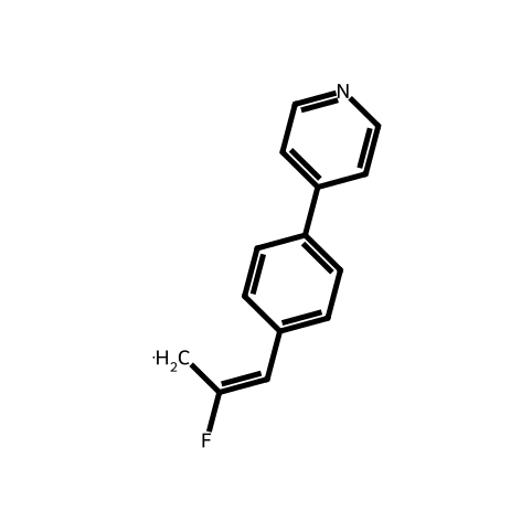 [CH2]/C(F)=C\c1ccc(-c2ccncc2)cc1